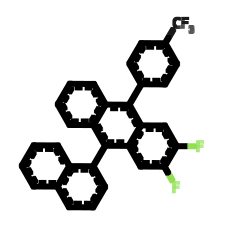 Fc1cc2c(-c3ccc(C(F)(F)F)cc3)c3ccccc3c(-c3cccc4ccccc34)c2cc1F